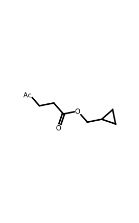 CC(=O)CCC(=O)OCC1CC1